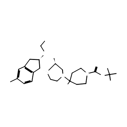 CCO[C@@H]1Cc2cc(C)ccc2[C@H]1N1CCN(C2(C)CCN(C(=O)OC(C)(C)C)CC2)C[C@@H]1C